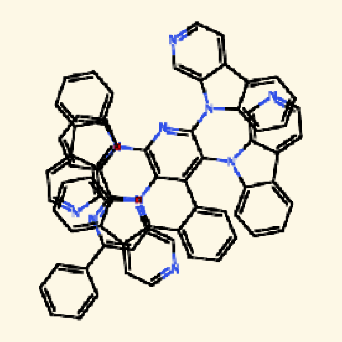 c1ccc(-c2cc(-c3ccccc3-c3c(-n4c5ccccc5c5ccncc54)c(-n4c5ccccc5c5ccncc54)nc(-n4c5ccccc5c5ccncc54)c3-n3c4ccccc4c4ccncc43)nc(-c3ccccc3)n2)cc1